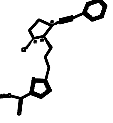 COC(=O)c1ccc(CCC[C@H]2[C@H](Cl)CC[C@@H]2C#Cc2ccccc2)s1